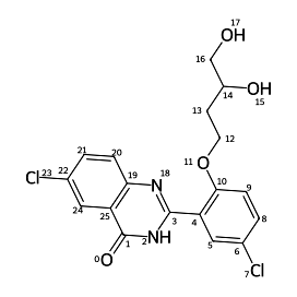 O=c1[nH]c(-c2cc(Cl)ccc2OCCC(O)CO)nc2ccc(Cl)cc12